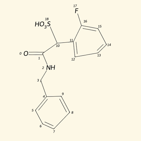 O=C(N[CH]c1ccccc1)C(c1ccccc1F)S(=O)(=O)O